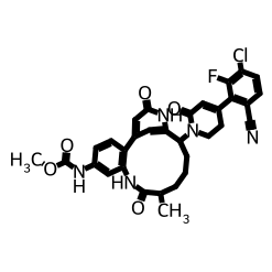 COC(=O)Nc1ccc2c(c1)NC(=O)C(C)CCCC(N1CCC(c3c(C#N)ccc(Cl)c3F)=CC1=O)c1cc-2cc(=O)[nH]1